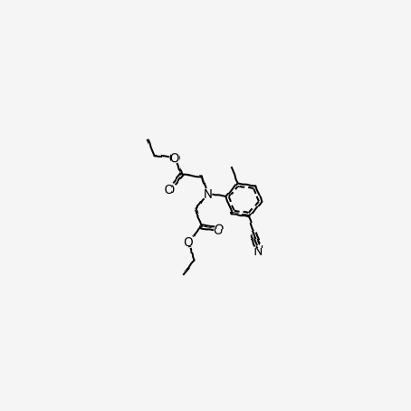 CCOC(=O)CN(CC(=O)OCC)c1cc(C#N)ccc1C